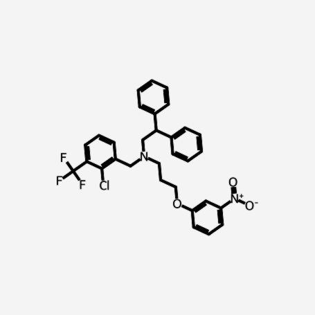 O=[N+]([O-])c1cccc(OCCCN(Cc2cccc(C(F)(F)F)c2Cl)CC(c2ccccc2)c2ccccc2)c1